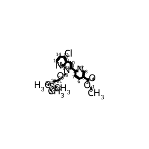 CCOC(=O)c1ccc(-c2cc3c(Cl)ccnc3n2COCC[Si](C)(C)C)nc1